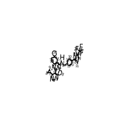 COc1ncnc(C2CC2)c1-c1nc2c(c(NCc3ccc(-c4nc(C(F)(F)F)cn4C)cc3)n1)CC(=O)CC2